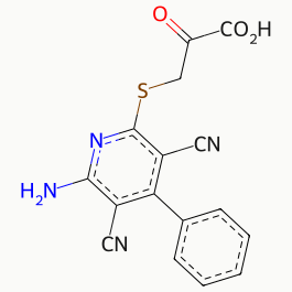 N#Cc1c(N)nc(SCC(=O)C(=O)O)c(C#N)c1-c1ccccc1